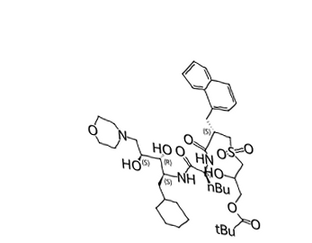 CCCC[C@H](NC(=O)[C@H](Cc1cccc2ccccc12)CS(=O)(=O)CC(O)COC(=O)C(C)(C)C)C(=O)N[C@@H](CC1CCCCC1)[C@@H](O)[C@@H](O)CN1CCOCC1